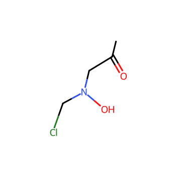 CC(=O)CN(O)CCl